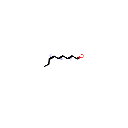 CC\C=C/C=C/C=C/C=O